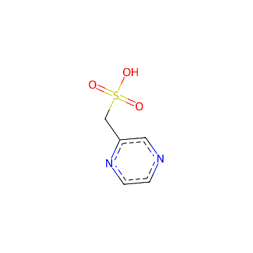 O=S(=O)(O)Cc1cnccn1